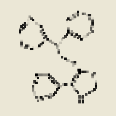 FCB(c1ccccc1)c1ccccc1.c1ccc(-c2ncc[nH]2)cc1